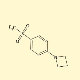 O=S(=O)(c1ccc(N2CCC2)cc1)C(F)(F)F